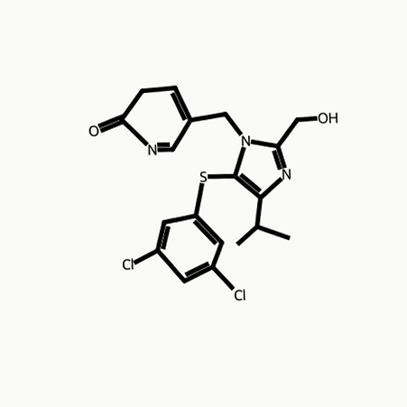 CC(C)c1nc(CO)n(CC2=CCC(=O)N=C2)c1Sc1cc(Cl)cc(Cl)c1